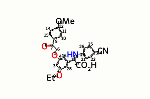 CCOc1cc(OCC(=O)c2ccc(OC)cc2)cc(C(Nc2ccc(C#N)cc2)C(=O)O)c1